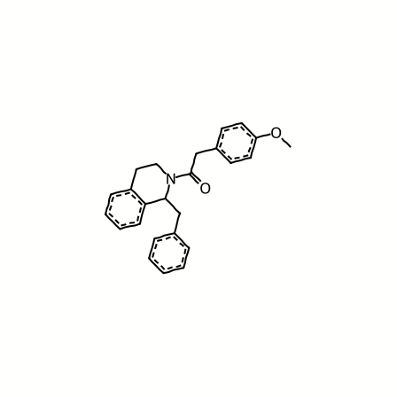 COc1ccc(CC(=O)N2CCc3ccccc3C2Cc2ccccc2)cc1